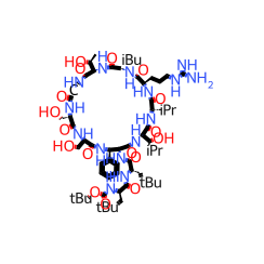 CC[C@H](C)[C@@H]1NC(=O)[C@@H](CCCNC(=N)N)NC(=O)[C@H](C(C)C)NC(=O)[C@H]([C@H](O)C(C)C)NC(=O)[C@@H](NC(=O)[C@H](CC(C)(C)C)NC(=O)[C@@H](CC(C)(C)C)NC(=O)OC(C)(C)C)[C@@H](c2ccccc2)NC(=O)C(CO)NC(=O)[C@H](CO)NC(=O)CNC(=O)[C@H]([C@H](C)O)NC1=O